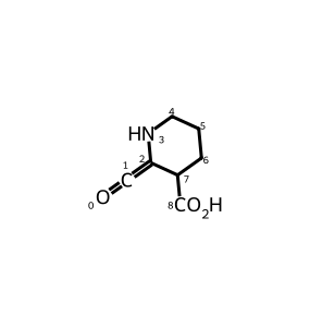 O=C=C1NCCCC1C(=O)O